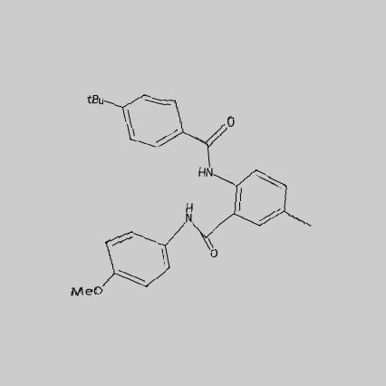 COc1ccc(NC(=O)c2cc(C)ccc2NC(=O)c2ccc(C(C)(C)C)cc2)cc1